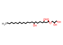 CCCCCCCCCCCCCCC(O)CCCCC(O)CC(=O)OCC(O)CO